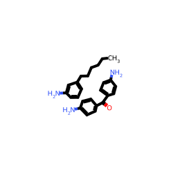 CCCCCCc1cccc(N)c1.Nc1ccc(C(=O)c2ccc(N)cc2)cc1